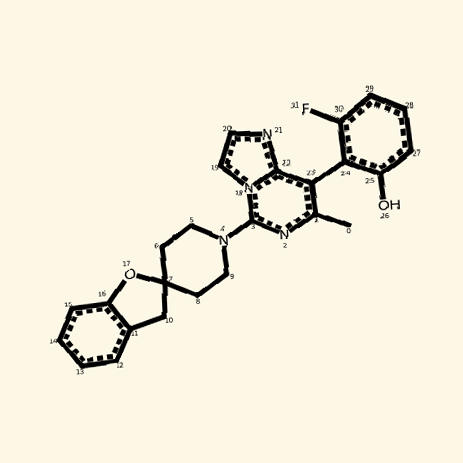 Cc1nc(N2CCC3(CC2)Cc2ccccc2O3)n2ccnc2c1-c1c(O)cccc1F